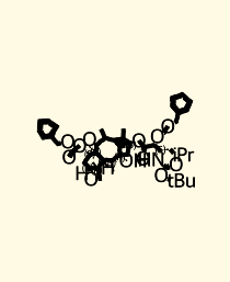 CC1=C2C(C)C(=O)[C@]3(C)[C@@H](OC(=O)OCc4ccccc4)C[C@H]4OC[C@@]4(C)[C@H]3[C@H](C)[C@](O)(C[C@@H]1OC(=O)C(OCOCc1ccccc1)[C@H](CC(C)C)NC(=O)OC(C)(C)C)C2(C)C